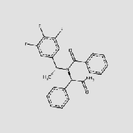 C[C@H](c1cc(F)c(F)c(F)c1)N(C(=O)c1ccccc1)[C@@H](C(N)=O)c1ccccc1